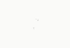 [Co+2].[Li+].[Ni+2].[O-2]